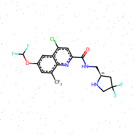 O=C(NC[C@H]1CC(F)(F)CN1)c1cc(Cl)c2cc(OC(F)F)cc(C(F)(F)F)c2n1